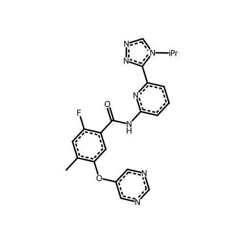 Cc1cc(F)c(C(=O)Nc2cccc(-c3nncn3C(C)C)n2)cc1Oc1cncnc1